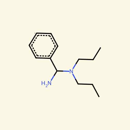 CCCN(CCC)C(N)c1cc[c]cc1